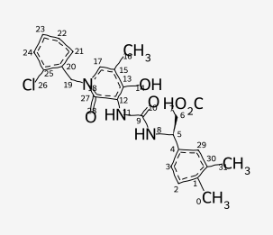 Cc1ccc([C@H](CC(=O)O)NC(=O)Nc2c(O)c(C)cn(Cc3ccccc3Cl)c2=O)cc1C